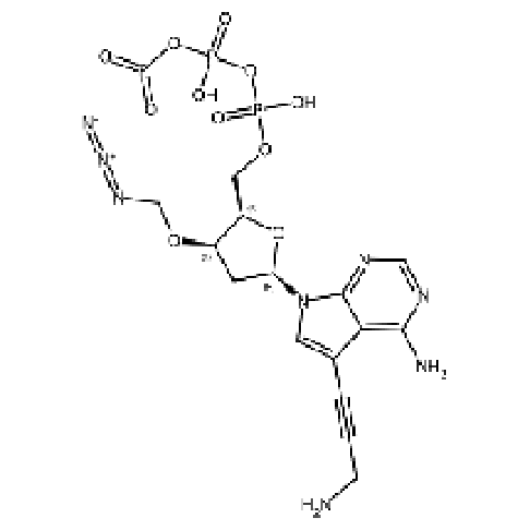 [N-]=[N+]=NCO[C@@H]1C[C@H](n2cc(C#CCN)c3c(N)ncnc32)O[C@@H]1COP(=O)(O)OP(=O)(O)OP(=O)=O